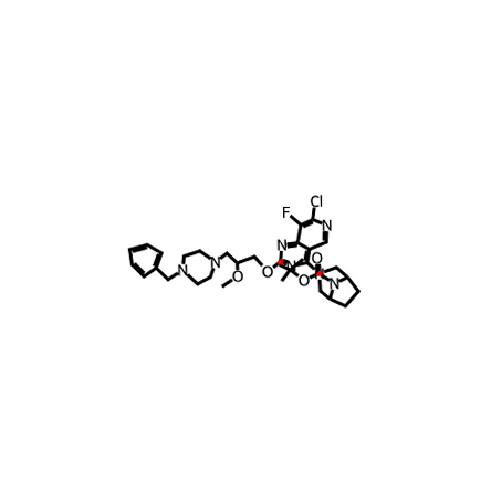 COC(COc1nc(N2CC3CCC(C2)N3C(=O)OC(C)(C)C)c2cnc(Cl)c(F)c2n1)CN1CCN(Cc2ccccc2)CC1